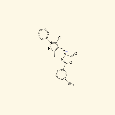 Bc1cccc(C2=N/C(=C\c3c(C)nn(-c4ccccc4)c3Cl)C(=O)O2)c1